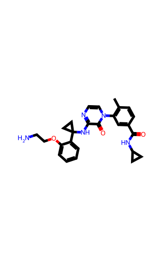 Cc1ccc(C(=O)NC2CC2)cc1-n1ccnc(NC2(c3ccccc3OCCN)CC2)c1=O